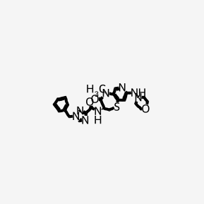 CN1C(=O)[C@@H](NC(=O)c2ncn(Cc3ccccc3)n2)CSc2cc(NN3CCOCC3)ncc21